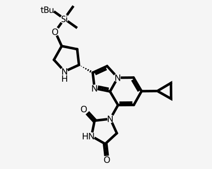 CC(C)(C)[Si](C)(C)OC1CN[C@@H](c2cn3cc(C4CC4)cc(N4CC(=O)NC4=O)c3n2)C1